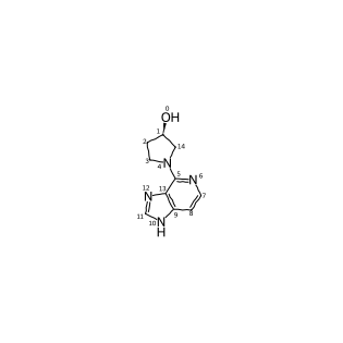 O[C@@H]1CCN(c2nccc3[nH]cnc23)C1